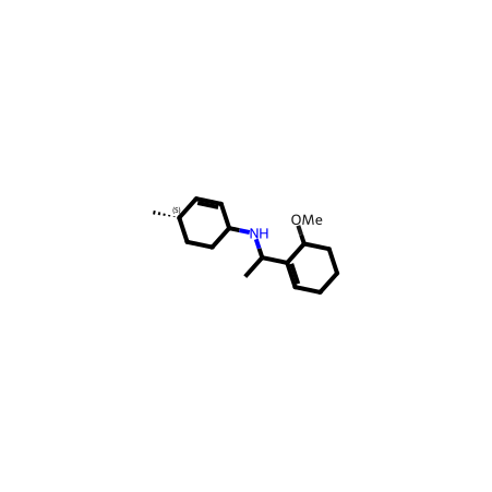 COC1CCCC=C1C(C)NC1C=C[C@@H](C)CC1